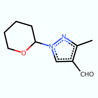 Cc1nn(C2CCCCO2)cc1C=O